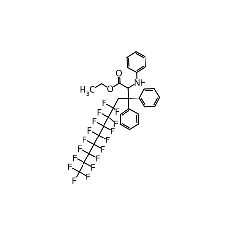 CCOC(=O)C(Nc1ccccc1)C(CC(F)(F)C(F)(F)C(F)(F)C(F)(F)C(F)(F)C(F)(F)C(F)(F)C(F)(F)F)(c1ccccc1)c1ccccc1